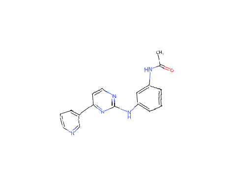 CC(=O)Nc1cccc(Nc2nccc(-c3cccnc3)n2)c1